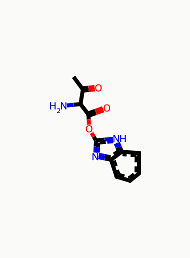 CC(=O)C(N)C(=O)Oc1nc2ccccc2[nH]1